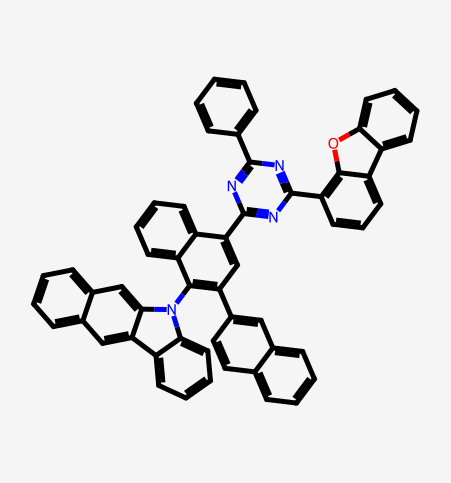 c1ccc(-c2nc(-c3cc(-c4ccc5ccccc5c4)c(-n4c5ccccc5c5cc6ccccc6cc54)c4ccccc34)nc(-c3cccc4c3oc3ccccc34)n2)cc1